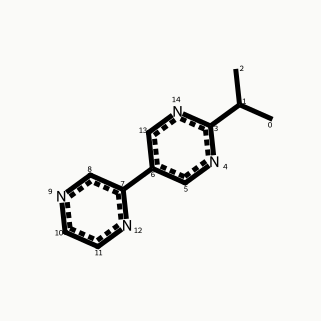 CC(C)c1ncc(-c2cnccn2)cn1